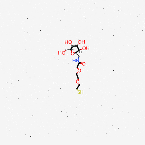 O=C(COCCOCCS)NC[C@@H]1O[C@H](CO)[C@H](O)[C@H](O)[C@H]1O